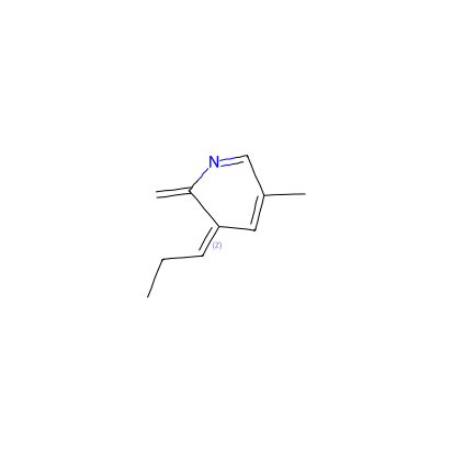 C=c1ncc(C)c/c1=C/CC